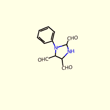 O=CC1NC(C=O)N(c2ccccc2)C1C=O